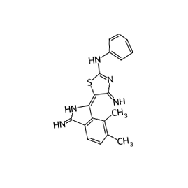 Cc1ccc2c(c1C)C(=C1SC(Nc3ccccc3)=NC1=N)NC2=N